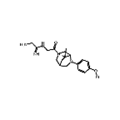 CCOc1ccc(N2CC3CN(C(=O)CNC(=N)CN)CC2C(C)(C)C3)cc1